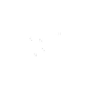 CCn1n[c]nn1